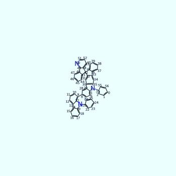 c1ccc(-n2c3ccc(-c4cccc5c6ccccc6n(-c6ccccc6)c45)cc3c3cc4c(cc32)-c2ccccc2C42c3ccccc3-c3ncccc32)cc1